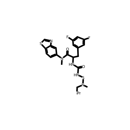 CC(C)CN(C)SNC(=O)NC(Cc1cc(F)cc(F)c1)C(=O)N(C)c1ccc2scnc2c1